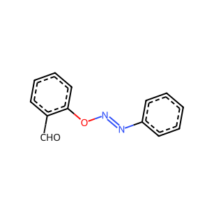 O=Cc1ccccc1ON=Nc1ccccc1